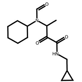 CC(C(=O)C(=O)NCC1CC1)N(C=O)C1CCCCC1